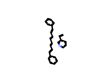 C(C=CC=Cc1ccccc1)=CC=Cc1ccccc1.C=Cc1cccnc1